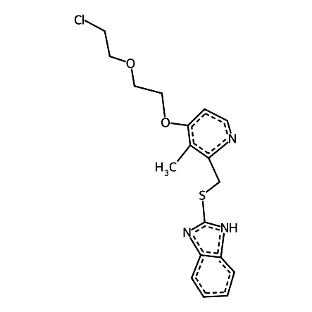 Cc1c(OCCOCCCl)ccnc1CSc1nc2ccccc2[nH]1